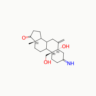 C=C1CC2C(CC[C@]3(C)C(=O)CCC23)[C@@]2(CO)CCC(=N)C[C@]12O